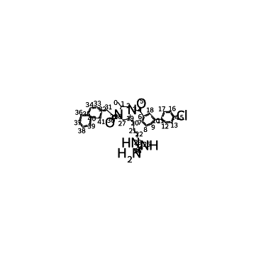 CC1CN(C(=O)c2cccc(-c3ccc(Cl)cc3)c2)C(CCCNC(=N)N)CN1C(=O)Cc1ccc2ccccc2c1